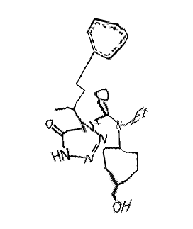 CCN(C(=O)[N+]1(C(C)CCc2ccccc2)N=NNC1=O)C1CCC(O)CC1